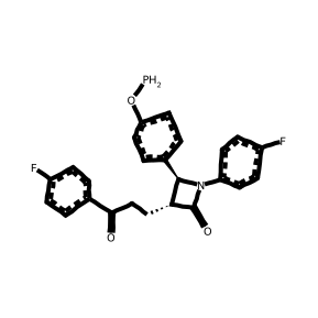 O=C(CC[C@H]1C(=O)N(c2ccc(F)cc2)[C@@H]1c1ccc(OP)cc1)c1ccc(F)cc1